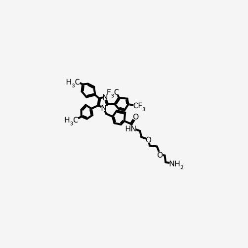 Cc1ccc(-c2nc(-c3ccc(C(F)(F)F)cc3C(F)(F)F)n(Cc3ccc(C(=O)NCCOCCOCCN)cc3)c2-c2ccc(C)cc2)cc1